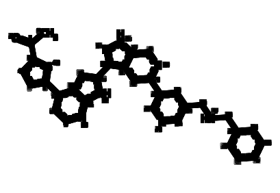 CC(=O)c1ccc(-c2ccnc3[nH]c(-c4n[nH]c5cnc(-c6cncc(CNCc7ccccc7)c6)cc45)cc23)s1